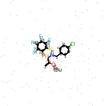 C=C(CN(Cc1ccc(Cl)cc1)Sc1c(F)c(F)c(F)c(F)c1P)OC(C)(C)C